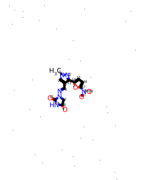 Cn1cc(C=NN2CC(=O)NC2=O)c(-c2ccc([N+](=O)[O-])o2)n1